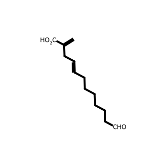 C=C(CC=CCCCCCCC=O)C(=O)O